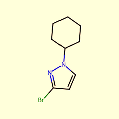 Brc1ccn([C]2CCCCC2)n1